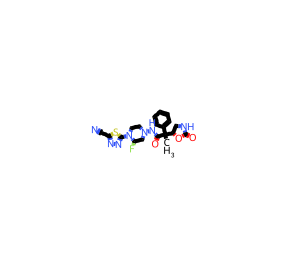 CC(C(=O)NN1CCN(c2nnc(C#N)s2)C(F)C1)(c1ccccc1)C1CNC(=O)O1